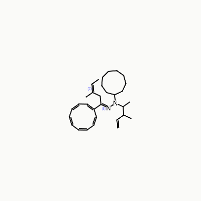 C=CC(C)C(C)N(/N=C(\C/C(C)=C\C)c1ccccccccc1)C1CCCCCCCC1